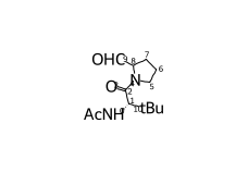 CC(=O)N[C@H](C(=O)N1CCCC1C=O)C(C)(C)C